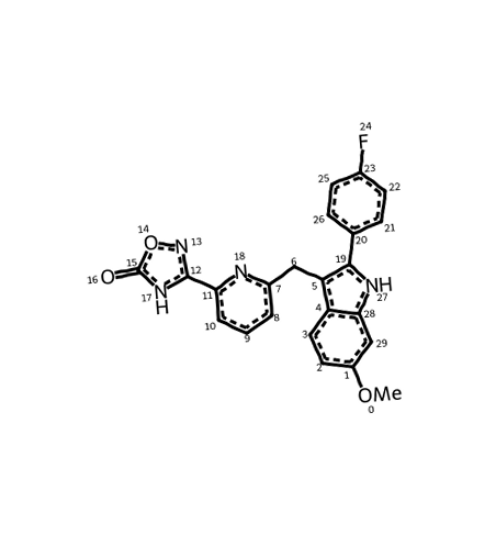 COc1ccc2c(Cc3cccc(-c4noc(=O)[nH]4)n3)c(-c3ccc(F)cc3)[nH]c2c1